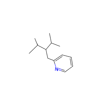 C[C](C)C(Cc1ccccn1)C(C)C